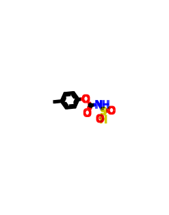 Cc1ccc(OC(=O)N[SH](=O)=O)cc1